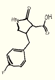 O=C(O)C1C(=O)NCC1Cc1ccc(F)cc1